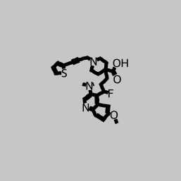 COc1ccc2ncc(N(C)C)c(C(F)CCC3(C(=O)O)CCN(CC#Cc4cccs4)CC3)c2c1